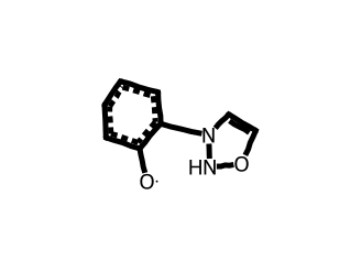 [O]c1ccccc1N1C=CON1